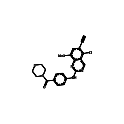 C#Cc1cc(OC)c2nc(Nc3ccc(C(=O)N4CCOCC4)cc3)ncc2c1Cl